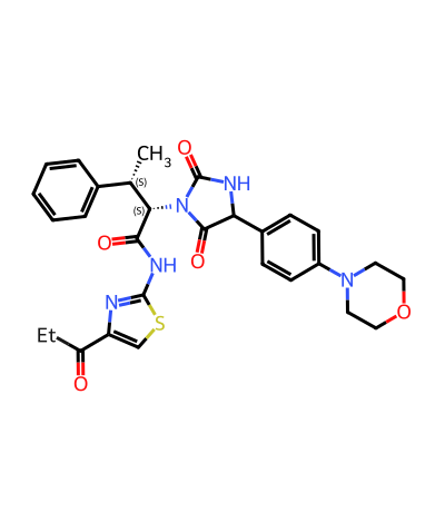 CCC(=O)c1csc(NC(=O)[C@H]([C@@H](C)c2ccccc2)N2C(=O)NC(c3ccc(N4CCOCC4)cc3)C2=O)n1